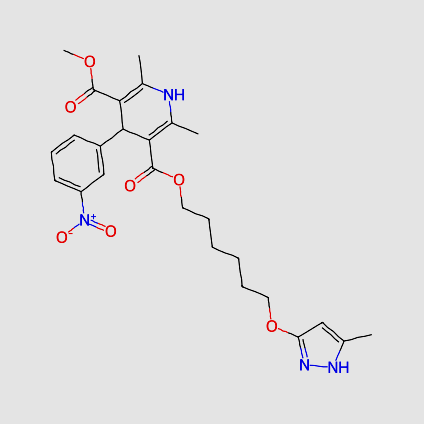 COC(=O)C1=C(C)NC(C)=C(C(=O)OCCCCCCOc2cc(C)[nH]n2)C1c1cccc([N+](=O)[O-])c1